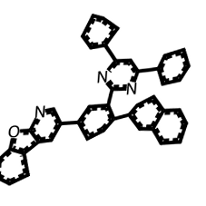 c1ccc(-c2cc(-c3ccccc3)nc(-c3cc(-c4cnc5oc6ccccc6c5c4)ccc3-c3ccc4ccccc4c3)n2)cc1